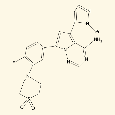 CC(C)n1nccc1-c1cc(-c2ccc(F)c(N3CCS(=O)(=O)CC3)c2)n2ncnc(N)c12